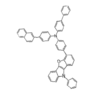 c1ccc(-c2ccc(N(c3ccc(-c4ccc5ccccc5c4)cc3)c3ccc(-c4cccc5c4oc4c6ccccc6n(-c6ccccc6)c54)cc3)cc2)cc1